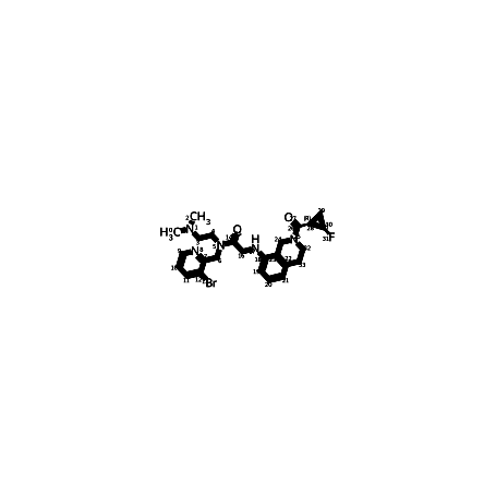 CN(C)CCN(Cc1ncccc1Br)C(=O)CNc1cccc2c1CN(C(=O)[C@H]1C[C@H]1F)CC2